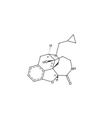 O=C1NCC[C@@]2(O)[C@H]3Cc4cccc5c4[C@@]2(CCN3CC2CC2)[C@H]1O5